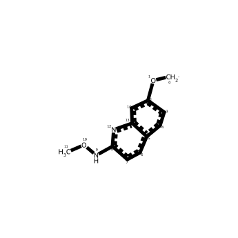 [CH2]Oc1ccc2ccc(NOC)nc2c1